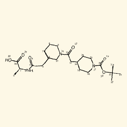 C[C@H](NC(=O)CC1CCCN(C(=O)CC2CCN(C(=O)OC(C)(C)C)CC2)C1)C(=O)O